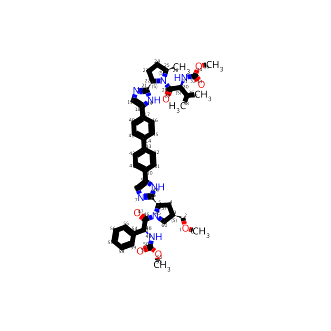 COC[C@H]1C[C@@H](c2ncc(-c3ccc(-c4ccc(-c5cnc([C@@H]6CC[C@H](C)N6C(=O)[C@@H](NC(=O)OC)C(C)C)[nH]5)cc4)cc3)[nH]2)N(C(=O)[C@H](NC(=O)OC)c2ccccc2)C1